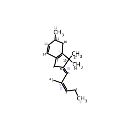 CC/C=C(I)\C=C1/CC2=C(CC(C)C=C2)C1(C)C